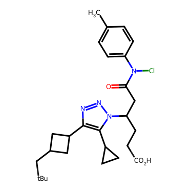 Cc1ccc(N(Cl)C(=O)CC(CCC(=O)O)n2nnc(C3CC(CC(C)(C)C)C3)c2C2CC2)cc1